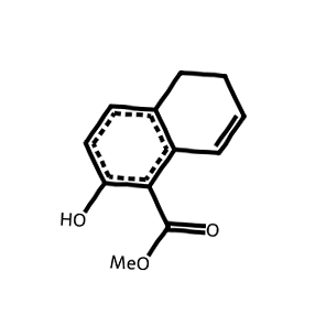 COC(=O)c1c(O)ccc2c1C=CCC2